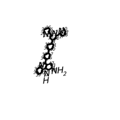 N=C1c2c(c(-c3ccc(-c4ccc(-c5cc(-c6ccccn6)nc(-c6ccccn6)c5)cc4)cc3)nc3ccccc23)C=CC1N